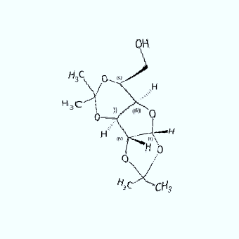 CC1(C)O[C@H]2O[C@H]3[C@H](OC(C)(C)O[C@H]3CO)[C@H]2O1